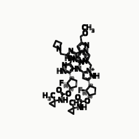 COCc1cc2c(Nc3cc([C@@H]4CC[C@H](OC(=O)NC5(C)CC5)[C@@H]4F)[nH]n3)nc(C[n+]3[nH]c([C@@H]4CC[C@H](OC(=O)NC5(C)CC5)[C@H]4F)cc3Nc3nccc4nc(CN5CCC5)cn34)cn2n1